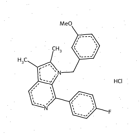 COc1cccc(Cn2c(C)c(C)c3ccnc(-c4ccc(F)cc4)c32)c1.Cl